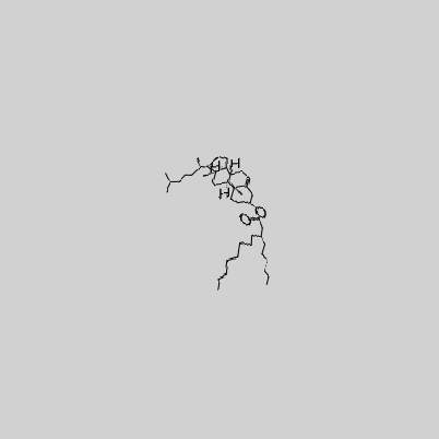 CCCCCCCCC(CCCCCC)CC(=O)OC1CC[C@@]2(C)C(=CC[C@H]3[C@@H]4CC[C@H]([C@H](C)CCCC(C)C)[C@@]4(C)CC[C@@H]32)C1